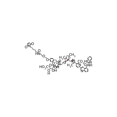 Cc1c(-c2ccc(-c3cnc4cccc(C(=O)Nc5nc6ccccc6s5)c4c3)nc2C(=O)O)cnn1CC12CC3(C)CC(C)(C1)CC(OCCN(C)C(=O)OCc1ccc(OCCOCCNC(=O)CCCCCN4C(=O)C=CC4=O)cc1O[C@@H]1O[C@H](C(=O)O)[C@H](O)[C@H](O)[C@@H]1O)(C3)C2